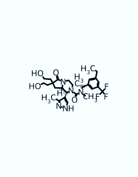 CCc1cc([C@@H](C)N(C)C(=O)N2CCN3C(=O)C(CCO)(CCO)C[C@H]3[C@@H]2c2c[nH]nc2C)cc(C(F)(F)F)c1